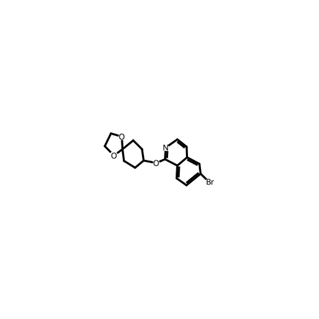 Brc1ccc2c(OC3CCC4(CC3)OCCO4)nccc2c1